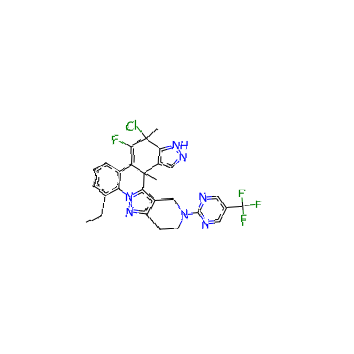 CCc1cccc2c1-n1nc3c(c1C1(C)C2=C(F)C(C)(Cl)c2[nH]ncc21)CN(c1ncc(C(F)(F)F)cn1)CC3